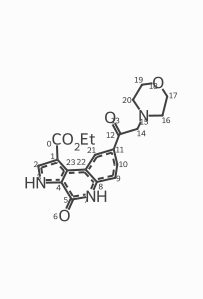 CCOC(=O)c1c[nH]c2c(=O)[nH]c3ccc(C(=O)CN4CCOCC4)cc3c12